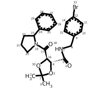 CC1(C)O[C@@H](C(=O)NCc2ccc(Br)cc2)[C@H](C(=O)N2CCCC2c2ccccc2)O1